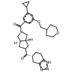 O=C(C1C[C@H]2CN(C(=O)c3cc(OCC4CCOCC4)cc(C4CC4)c3)C[C@@H]2C1)[C@@H]1CCc2[nH]nnc2C1